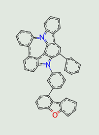 c1ccc(-c2cc3c4ccccc4n4c5ccccc5c5cccc6c5c(c2n6-c2cccc(-c5cccc6oc7ccccc7c56)c2)c34)cc1